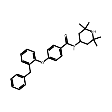 CC1(C)CC(NC(=O)c2ccc(Oc3ccccc3Cc3ccccc3)cc2)CC(C)(C)N1